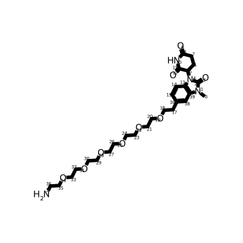 Cn1c(=O)n(C2CCC(=O)NC2=O)c2ccc(CCOCCOCCOCCOCCOCCOCCN)cc21